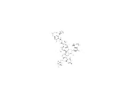 Cc1cc(CC(=O)O)cc(OP(=O)(O)O)c1C(C)(C)CC(=O)N(c1nn(CC(F)(F)F)c2c(-c3ccc(CCC(C)(C)S(C)(=O)=O)nc3[C@H](Cc3cc(F)cc(F)c3)NC(=O)Cn3nc(C(F)(F)F)c4c3C(F)(F)C3CC43)ccc(Cl)c12)S(C)(=O)=O